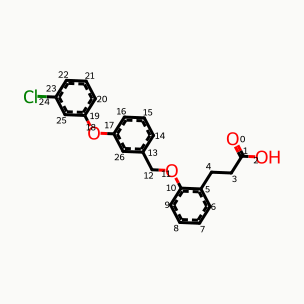 O=C(O)CCc1ccccc1OCc1cccc(Oc2cccc(Cl)c2)c1